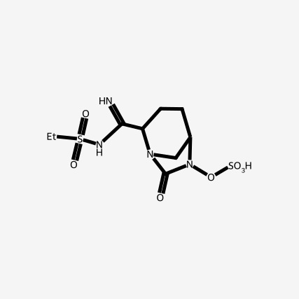 CCS(=O)(=O)NC(=N)C1CCC2CN1C(=O)N2OS(=O)(=O)O